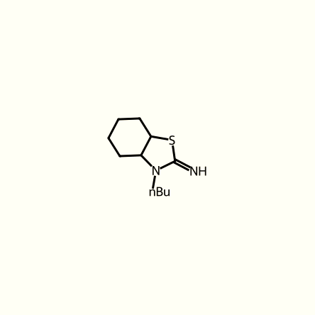 CCCCN1C(=N)SC2CCCCC21